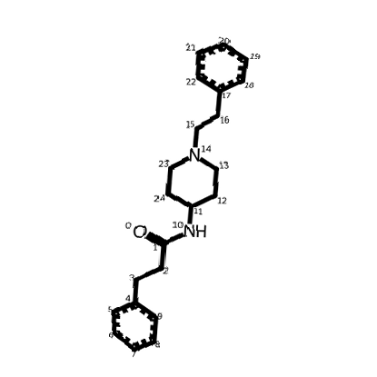 O=C(CCc1ccccc1)NC1CCN(CCc2ccccc2)CC1